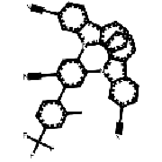 Cc1cc(C(F)(F)F)ccc1-c1cc(-n2c3ccccc3c3ccc(C#N)cc32)c(-n2c3ccccc3c3ccc(C#N)cc32)cc1C#N